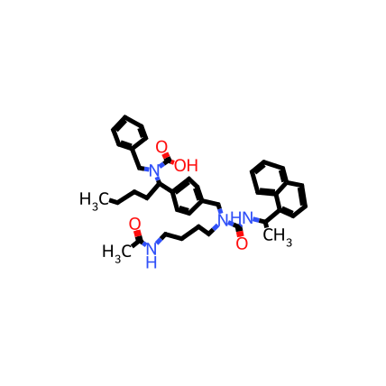 CCCCC(c1ccc(CN(CCCCNC(C)=O)C(=O)NC(C)c2cccc3ccccc23)cc1)N(Cc1ccccc1)C(=O)O